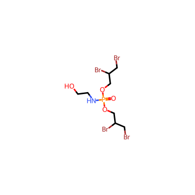 O=P(NCCO)(OCC(Br)CBr)OCC(Br)CBr